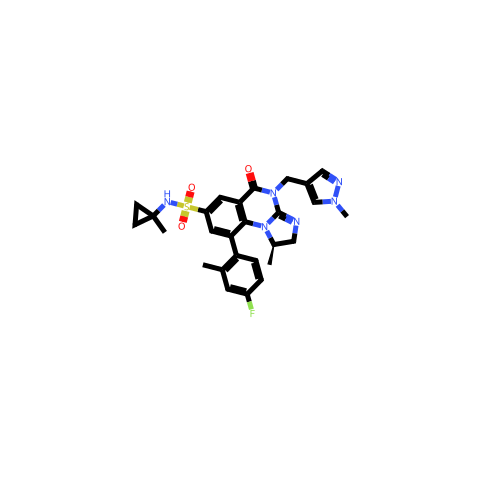 Cc1cc(F)ccc1-c1cc(S(=O)(=O)NC2(C)CC2)cc2c1N1C(=NC[C@H]1C)N(Cc1cnn(C)c1)C2=O